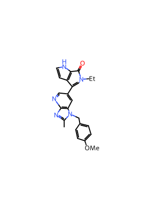 CCn1cc(-c2cnc3nc(C)n(Cc4ccc(OC)cc4)c3c2)c2cc[nH]c2c1=O